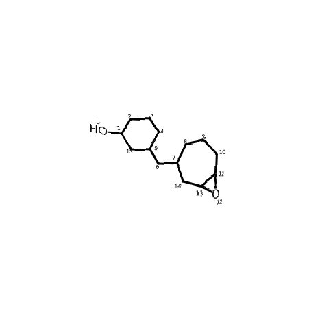 OC1CCCC(CC2CCCC3OC3C2)C1